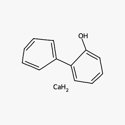 Oc1ccccc1-c1ccccc1.[CaH2]